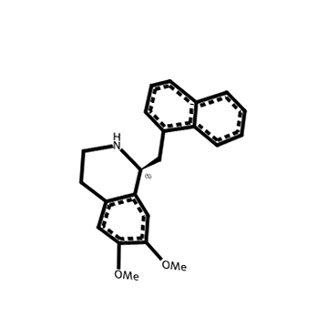 COc1cc2c(cc1OC)[C@H](Cc1cccc3ccccc13)NCC2